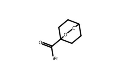 CC(C)C(=O)C12CCC(CC1)CO2